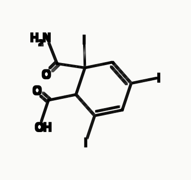 NC(=O)C1(I)C=C(I)C=C(I)C1C(=O)O